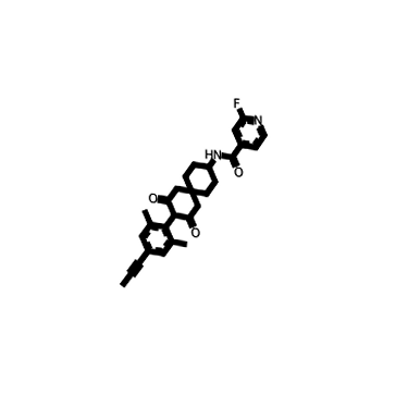 CC#Cc1cc(C)c(C2C(=O)CC3(CCC(NC(=O)c4ccnc(F)c4)CC3)CC2=O)c(C)c1